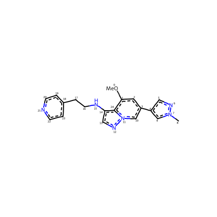 COc1cc(-c2cnn(C)c2)cn2ncc(NCCc3ccncc3)c12